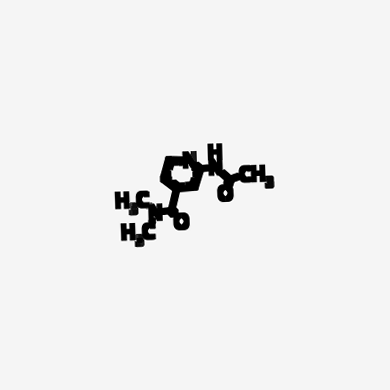 CC(=O)Nc1cc(C(=O)N(C)C)ccn1